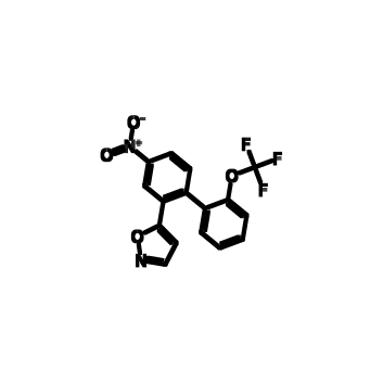 O=[N+]([O-])c1ccc(-c2ccccc2OC(F)(F)F)c(-c2ccno2)c1